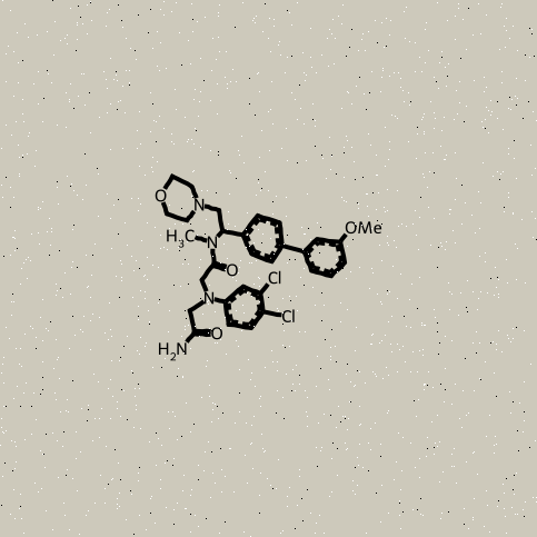 COc1cccc(-c2ccc(C(CN3CCOCC3)N(C)C(=O)CN(CC(N)=O)c3ccc(Cl)c(Cl)c3)cc2)c1